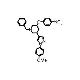 COc1ccc(-n2cc(C3CC(Oc4ccc([N+](=O)[O-])cc4)CN(Cc4ccccc4)C3)cn2)cc1